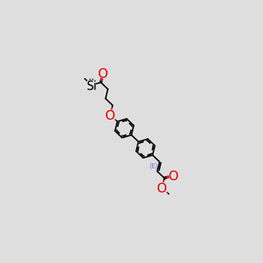 COC(=O)/C=C/c1ccc(-c2ccc(OCCCC(=O)[Si]C)cc2)cc1